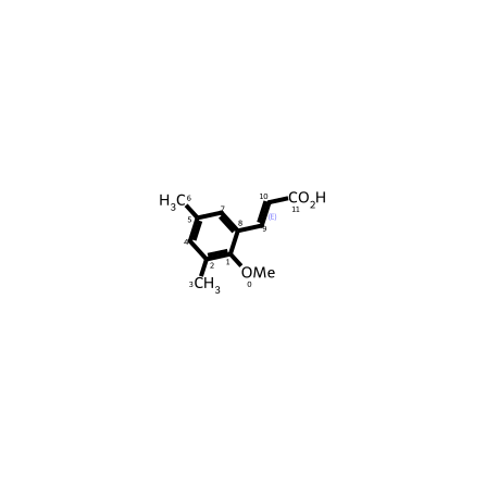 COc1c(C)cc(C)cc1/C=C/C(=O)O